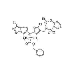 CC[C@@H]1CN(Cc2cc([C@@H](c3ccc4c(nnn4CC)c3C)C(C)(C)C(=O)OCc3ccccc3)sc2Cl)S(=O)(=O)c2ccccc2O1